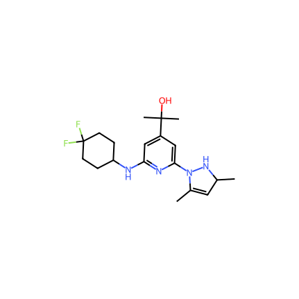 CC1=CC(C)NN1c1cc(C(C)(C)O)cc(NC2CCC(F)(F)CC2)n1